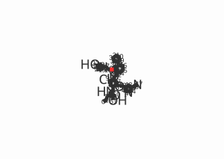 C=CCC(NCc1cc(Cl)c(OCC2(OCCCN3CC[C@@H](O)C3)C=CC=C(c3ccccc3)C2(C)C)cc1OCc1cncc(C#N)c1)C(=O)O